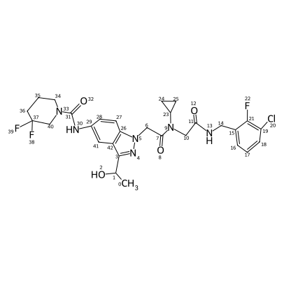 CC(O)c1nn(CC(=O)N(CC(=O)NCc2cccc(Cl)c2F)C2CC2)c2ccc(NC(=O)N3CCCC(F)(F)C3)cc12